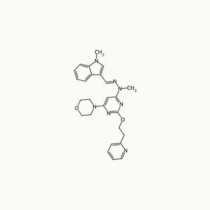 CN(/N=C/c1cn(C)c2ccccc12)c1cc(N2CCOCC2)nc(OCCc2ccccn2)n1